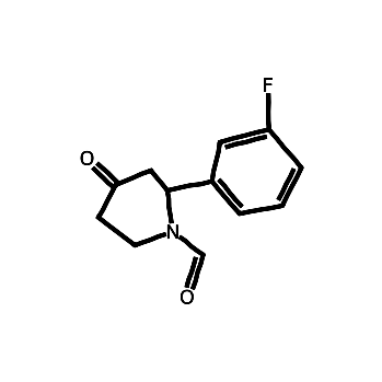 O=CN1CCC(=O)CC1c1cccc(F)c1